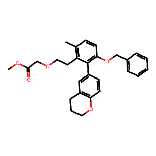 COC(=O)COCCc1c(C)ccc(OCc2ccccc2)c1-c1ccc2c(c1)CCCO2